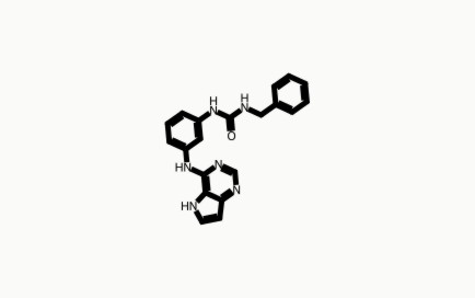 O=C(NCc1ccccc1)Nc1cccc(Nc2ncnc3cc[nH]c23)c1